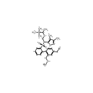 Cc1noc(N(COC(C)[Si](C)(C)C)S(=O)(=O)c2ccccc2-c2ccc(CBr)cc2COC(C)(C)C)c1C